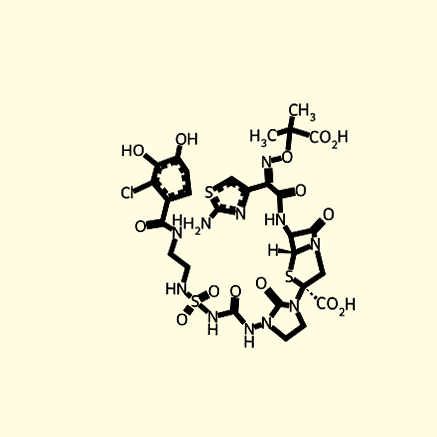 CC(C)(O/N=C(\C(=O)NC1C(=O)N2C[C@@](C(=O)O)(N3CCN(NC(=O)NS(=O)(=O)NCCNC(=O)c4ccc(O)c(O)c4Cl)C3=O)S[C@H]12)c1csc(N)n1)C(=O)O